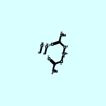 CC(C)(C)C(=O)[O][Ti+2][O]C(=O)C(C)(C)C.C[O-].C[O-]